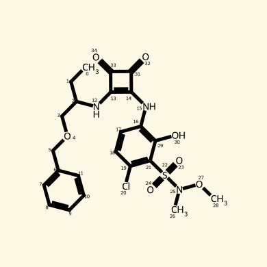 CCC(COCc1ccccc1)Nc1c(Nc2ccc(Cl)c(S(=O)(=O)N(C)OC)c2O)c(=O)c1=O